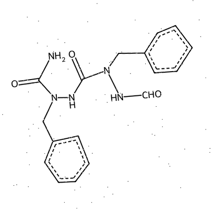 NC(=O)N(Cc1ccccc1)NC(=O)N(Cc1ccccc1)NC=O